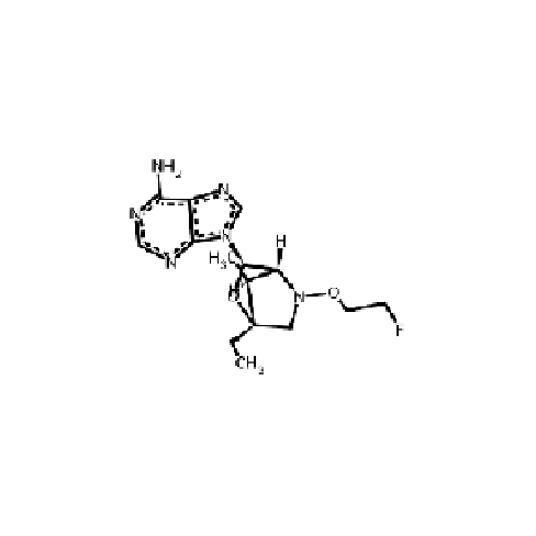 CC[C@@]12CN(OCCF)[C@@H]([C@H](n3cnc4c(N)ncnc43)O1)[C@@H]2C